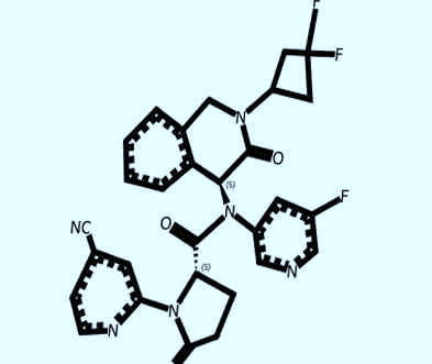 N#Cc1ccnc(N2C(=O)CC[C@H]2C(=O)N(c2cncc(F)c2)[C@@H]2C(=O)N(C3CC(F)(F)C3)Cc3ccccc32)c1